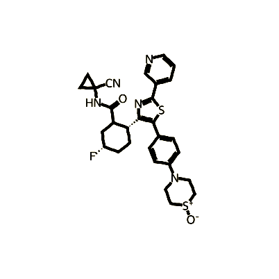 N#CC1(NC(=O)C2C[C@@H](F)CC[C@H]2c2nc(-c3cccnc3)sc2-c2ccc(N3CC[S+]([O-])CC3)cc2)CC1